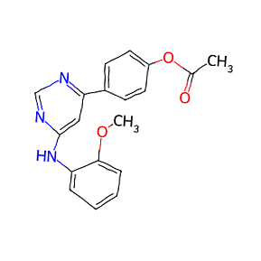 COc1ccccc1Nc1cc(-c2ccc(OC(C)=O)cc2)ncn1